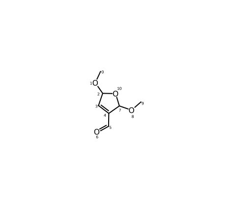 COC1C=C(C=O)C(OC)O1